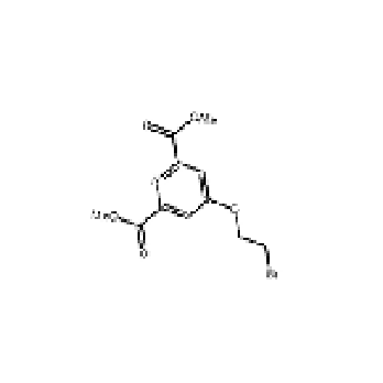 COC(=O)c1cc(OCCBr)cc(C(=O)OC)n1